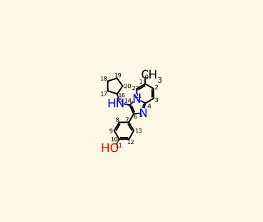 Cc1ccc2nc(-c3ccc(O)cc3)c(NC3CCCC3)n2c1